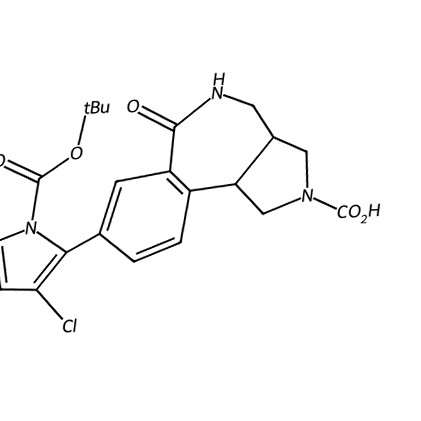 CC(C)(C)OC(=O)n1ccc(Cl)c1-c1ccc2c(c1)C(=O)NCC1CN(C(=O)O)CC21